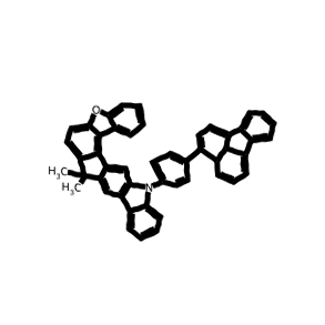 CC1(C)c2cc3c4ccccc4n(-c4ccc(C5=CC=C6c7ccccc7C7=CC=CC5C76)cc4)c3cc2-c2c1ccc1oc3ccccc3c21